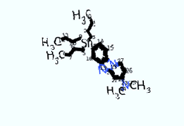 CCC[CH2][Sn]([CH2]CCC)([CH2]CCC)[c]1ccc2c(c1)nc1cc(N(C)C)ccn12